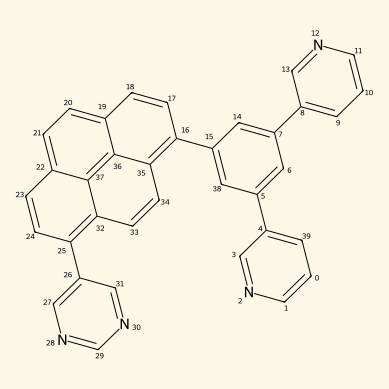 c1cncc(-c2cc(-c3cccnc3)cc(-c3ccc4ccc5ccc(-c6cncnc6)c6ccc3c4c56)c2)c1